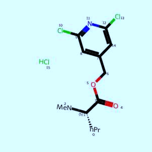 CCC[C@H](NC)C(=O)OCc1cc(Cl)nc(Cl)c1.Cl